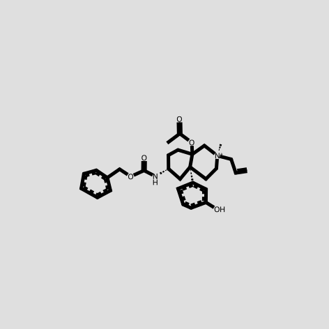 C=CC[N@@+]1(C)CC[C@@]2(c3cccc(O)c3)C[C@H](NC(=O)OCc3ccccc3)CCC2(OC(C)=O)C1